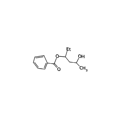 CCC(CC(C)O)OC(=O)c1ccccc1